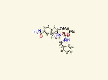 COC1Cc2ccc(C(N)=O)cc2C(C)(C)C1NC[C@@H](Cc1ccccc1)NC(=O)OC(C)(C)C